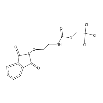 O=C(NCCON1C(=O)c2ccccc2C1=O)OCC(Cl)(Cl)Cl